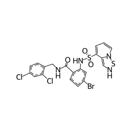 O=C(NCc1ccc(Cl)cc1Cl)c1ccc(Br)cc1NS(=O)(=O)C1=CC=CN2SNC=C12